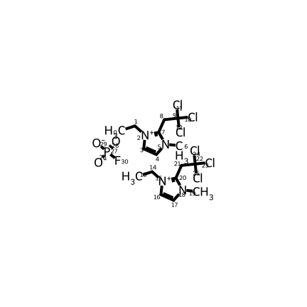 CC[n+]1ccn(C)c1CC(Cl)(Cl)Cl.CC[n+]1ccn(C)c1CC(Cl)(Cl)Cl.O=P([O-])([O-])F